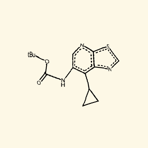 CC(C)(C)OC(=O)Nc1cnc2scnc2c1C1CC1